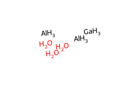 O.O.O.[AlH3].[AlH3].[GaH3]